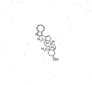 C[C@]12CC[C@H](O)CC1=CC[C@@H]1[C@@H]2CC[C@]2(C)C(c3cnc4cccccc3-4)=CC[C@@H]12